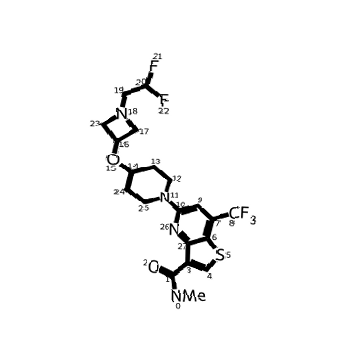 CNC(=O)c1csc2c(C(F)(F)F)cc(N3CCC(OC4CN(CC(F)F)C4)CC3)nc12